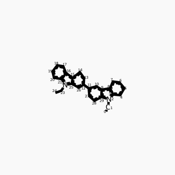 CCn1c2ccccc2c2cc(-c3ccc4c5ccccc5n(CC)c4c3)ccc21